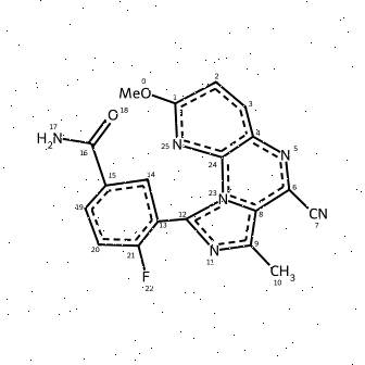 COc1ccc2nc(C#N)c3c(C)nc(-c4cc(C(N)=O)ccc4F)n3c2n1